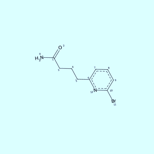 NC(=O)CC[CH]c1cccc(Br)n1